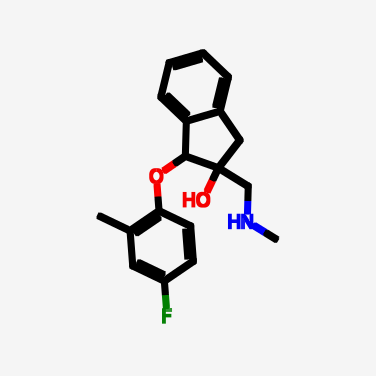 CNCC1(O)Cc2ccccc2C1Oc1ccc(F)cc1C